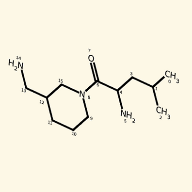 CC(C)CC(N)C(=O)N1CCCC(CN)C1